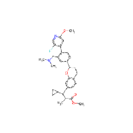 COC(=O)C(C)C(c1ccc2c(c1)OC(c1ccc(-c3cc(OC)ncc3F)c(CN(C)C)c1)CC2)C1CC1